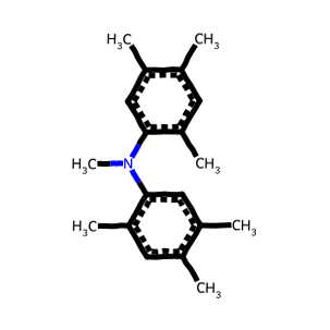 Cc1cc(C)c(N(C)c2cc(C)c(C)cc2C)cc1C